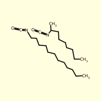 CCCCCCCC(C)N=C=O.CCCCCCCCCCCCN=C=O